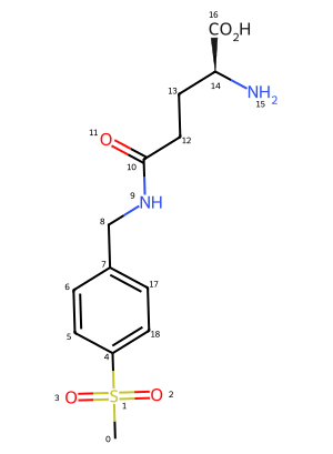 CS(=O)(=O)c1ccc(CNC(=O)CC[C@H](N)C(=O)O)cc1